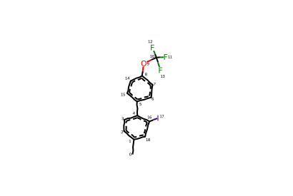 Cc1ccc(-c2ccc(OC(F)(F)F)cc2)c(I)c1